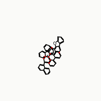 c1ccc(N(c2ccc(-c3cccc4ccccc34)cc2)c2ccccc2-c2cccc3c2oc2ccccc23)c(-c2ccccc2-n2c3ccccc3c3ccccc32)c1